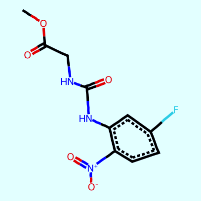 COC(=O)CNC(=O)Nc1cc(F)ccc1[N+](=O)[O-]